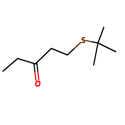 CCC(=O)CCSC(C)(C)C